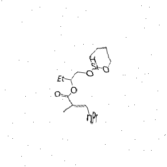 CCCC=C(C)C(=O)OC(CC)CO[SiH]1CCCCO1